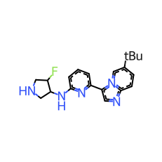 CC(C)(C)c1ccc2ncc(-c3cccc(NC4CNCC4F)n3)n2c1